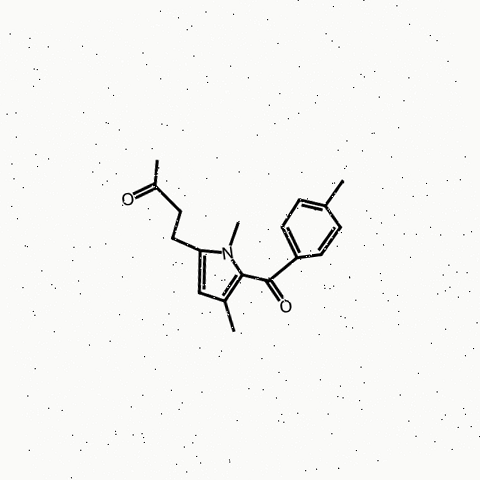 CC(=O)CCc1cc(C)c(C(=O)c2ccc(C)cc2)n1C